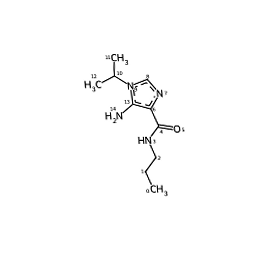 CCCNC(=O)c1ncn(C(C)C)c1N